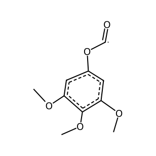 COc1cc(O[C]=O)cc(OC)c1OC